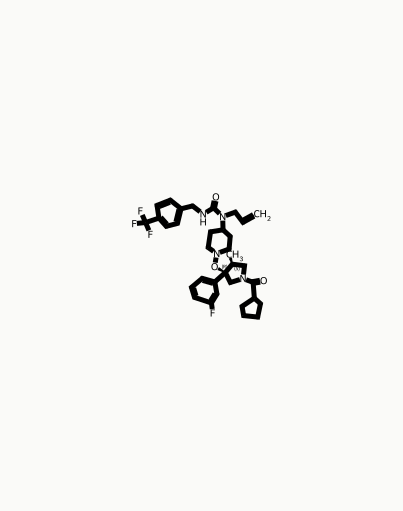 C=CCN(C(=O)NCc1ccc(C(F)(F)F)cc1)C1CCN(O[C@]2(c3cccc(F)c3)CN(C(=O)C3CCCC3)C[C@@H]2C)CC1